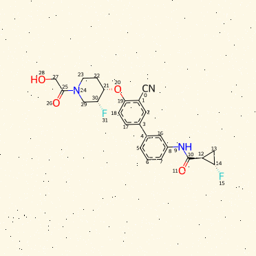 N#Cc1cc(-c2cccc(NC(=O)[C@H]3C[C@@H]3F)c2)ccc1O[C@H]1CCN(C(=O)CO)C[C@H]1F